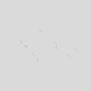 CCn1c(=O)c2ccnn2c2cc(N(C)C)c(C(=O)NCc3cncnc3)cc21